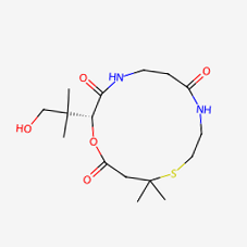 CC1(C)CC(=O)O[C@H](C(C)(C)CO)C(=O)NCCC(=O)NCCS1